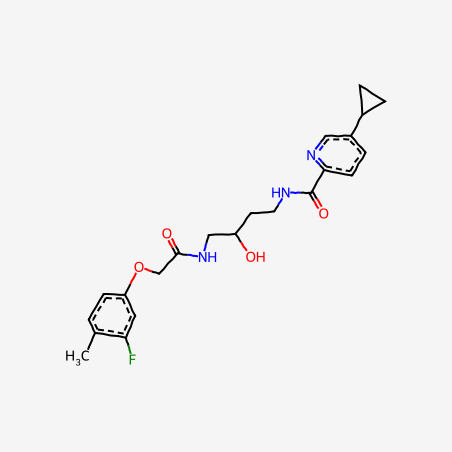 Cc1ccc(OCC(=O)NCC(O)CCNC(=O)c2ccc(C3CC3)cn2)cc1F